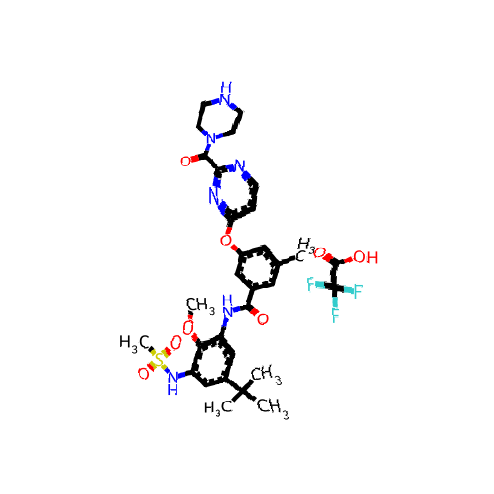 COc1c(NC(=O)c2cc(C)cc(Oc3ccnc(C(=O)N4CCNCC4)n3)c2)cc(C(C)(C)C)cc1NS(C)(=O)=O.O=C(O)C(F)(F)F